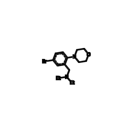 CCN(CC)Cc1cc(Br)ccc1N1CCOCC1